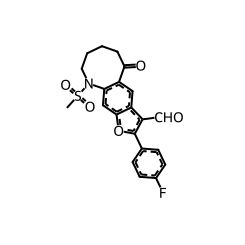 CS(=O)(=O)N1CCCCC(=O)c2cc3c(C=O)c(-c4ccc(F)cc4)oc3cc21